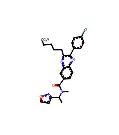 CC(c1ccon1)N(C)C(=O)c1ccc2nc(-c3ccc(Cl)cc3)c(CCCCC(=O)O)nc2c1